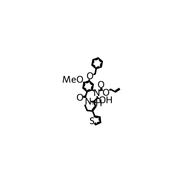 C=CCOC(=O)N1c2cc(OCc3ccccc3)c(OC)cc2C(=O)N2CCC(c3cccs3)=C[C@H]2C1O